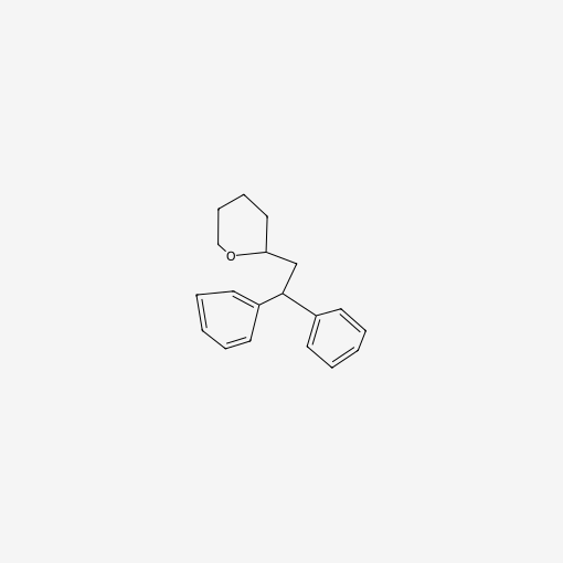 c1ccc(C(CC2CCCCO2)c2ccccc2)cc1